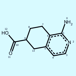 Nc1nccc2c1CCC(C(=O)O)C2